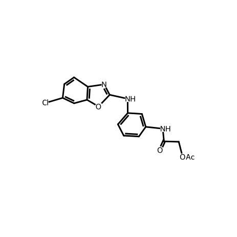 CC(=O)OCC(=O)Nc1cccc(Nc2nc3ccc(Cl)cc3o2)c1